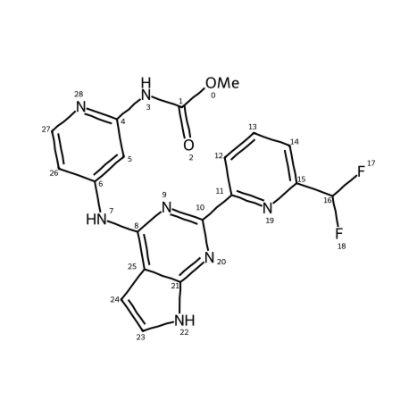 COC(=O)Nc1cc(Nc2nc(-c3cccc(C(F)F)n3)nc3[nH]ccc23)ccn1